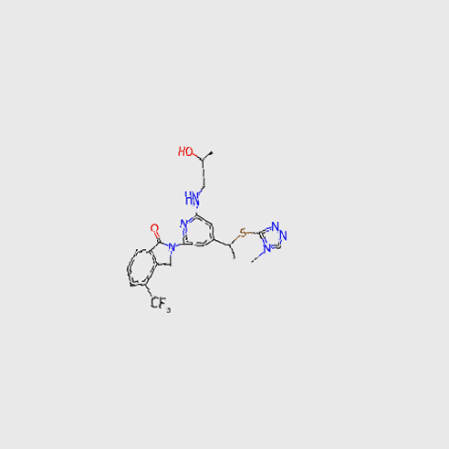 CC(Sc1nncn1C)c1cc(NC[C@H](C)O)nc(N2Cc3c(cccc3C(F)(F)F)C2=O)c1